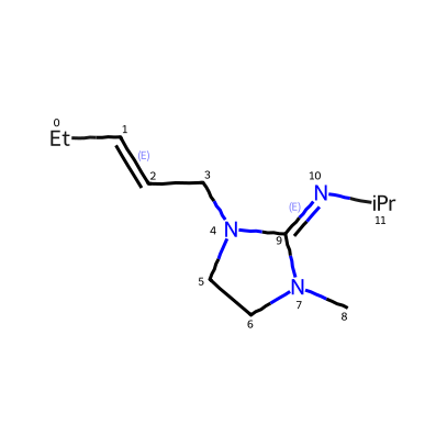 CC/C=C/CN1CCN(C)/C1=N\C(C)C